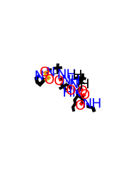 C=CCNC(=O)C(=O)C(CCCC)NC(=O)[C@@H]1[C@@H]2[C@H](CN1C(=O)[C@@H](NC(=O)N[C@H](CN(C)S(=O)(=O)c1ccccn1)C(C)(C)C)C(C)(C)C)C2(C)C